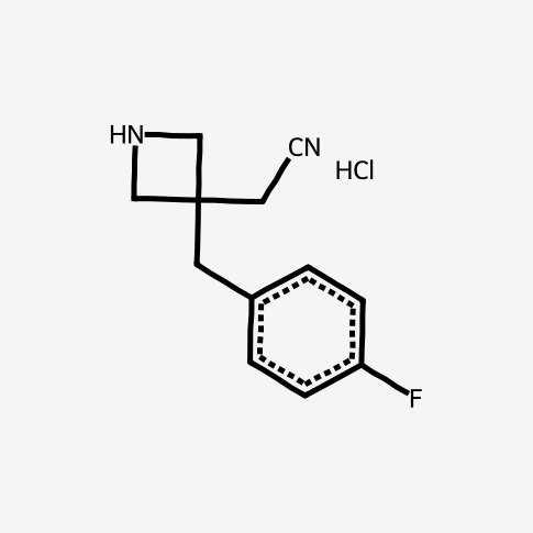 Cl.N#CCC1(Cc2ccc(F)cc2)CNC1